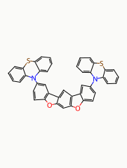 c1ccc2c(c1)Sc1ccccc1N2c1ccc2oc3cc4oc5ccc(N6c7ccccc7Sc7ccccc76)cc5c4cc3c2c1